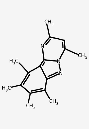 Cc1cc(C)n2nc3c(C)c(C)c(C)c(C)c3c2n1